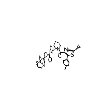 Cc1ccc(-c2sc(C3CC3)nc2C(=O)N2CCCC[C@H]2CNC(=O)Oc2cn3ccsc3n2)cc1